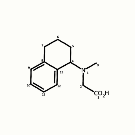 CN(CC(=O)O)C1CCCc2ccccc21